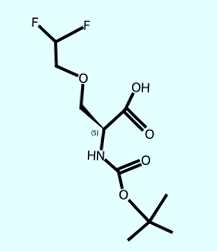 CC(C)(C)OC(=O)N[C@@H](COCC(F)F)C(=O)O